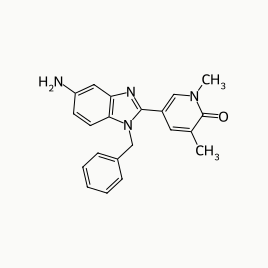 Cc1cc(-c2nc3cc(N)ccc3n2Cc2ccccc2)cn(C)c1=O